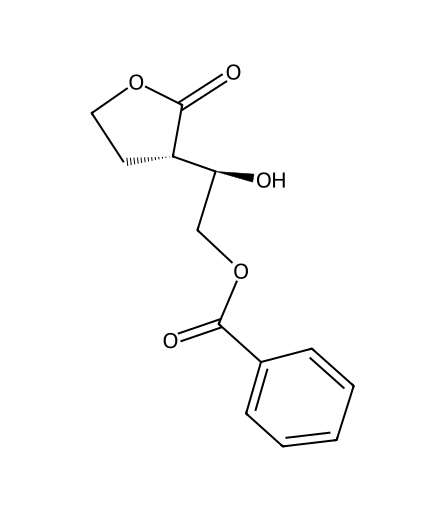 O=C(OC[C@H](O)[C@@H]1CCOC1=O)c1ccccc1